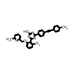 Cc1ccc(C#Cc2ccc(-c3nc(O)nc(-c4c(OCc5cccc(C)n5)cccc4C(F)(F)F)n3)cc2)cc1